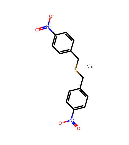 O=[N+]([O-])c1ccc(CSCc2ccc([N+](=O)[O-])cc2)cc1.[Na+]